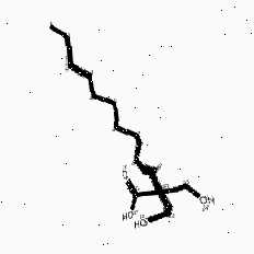 CCCCCCCCCCC(CO)(CO)C(=O)O